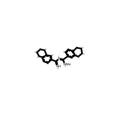 CN/C(=N\C(=N)c1ccc2c(c1)CCCC2)c1ccc2c(c1)CCCC2